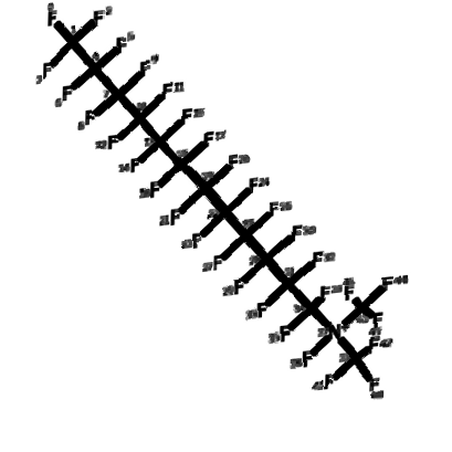 FC(F)(F)C(F)(F)C(F)(F)C(F)(F)C(F)(F)C(F)(F)C(F)(F)C(F)(F)C(F)(F)C(F)(F)C(F)(F)C(F)(F)[N+](F)(C(F)(F)F)C(F)(F)F